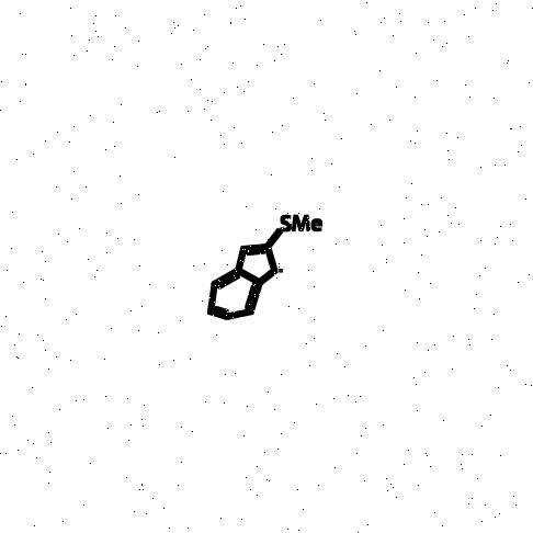 CSC1=Cc2ccccc2[CH]1